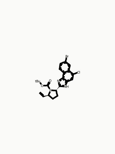 C=C[C@@H]1CC[C@@H](c2nc3c(cc(Cl)c4cc(Br)ccc43)[nH]2)N1C(=O)OC(C)(C)C